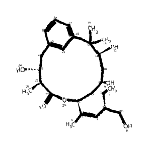 CC[C@H](/C=C(/C)[C@@H]1C[C@H](O)C[C@H](O)C(C)(C)c2cccc(c2)C[C@@H](O)[C@H](C)C(=O)O1)CO